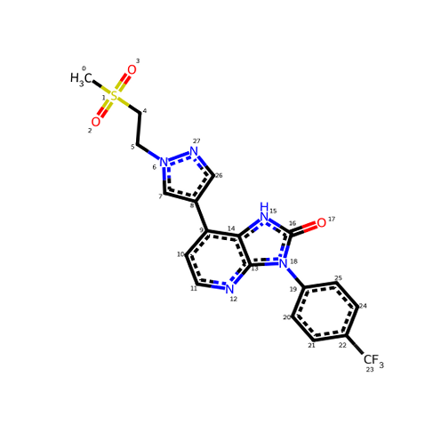 CS(=O)(=O)CCn1cc(-c2ccnc3c2[nH]c(=O)n3-c2ccc(C(F)(F)F)cc2)cn1